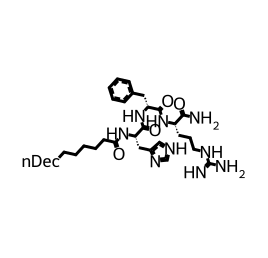 CCCCCCCCCCCCCCCC(=O)N[C@@H](Cc1c[nH]cn1)C(=O)N[C@H](Cc1ccccc1)C(=O)N[C@@H](CCCNC(=N)N)C(N)=O